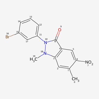 Cc1cc2c(cc1[N+](=O)[O-])c(=O)n(-c1cccc(Br)c1)n2C